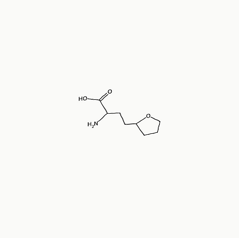 NC(CCC1CCCO1)C(=O)O